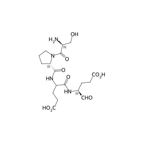 N[C@@H](CO)C(=O)N1CCC[C@H]1C(=O)NC(CCC(=O)O)C(=O)N[C@H](C=O)CCC(=O)O